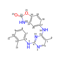 Cc1cnc(Nc2cccc(C)c2C)nc1Nc1ccc2oc(=O)[nH]c2c1